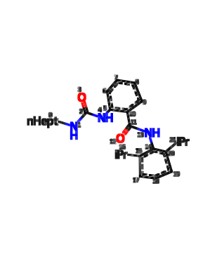 CCCCCCCNC(=O)Nc1ccccc1C(=O)Nc1c(C(C)C)cccc1C(C)C